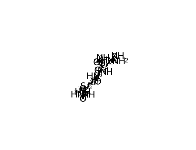 N=C(N)NCCC[C@@H](COC(N)=O)NC(=O)CNC(=O)CCCC[C@@H]1SC[C@@H]2NC(=O)N[C@@H]21